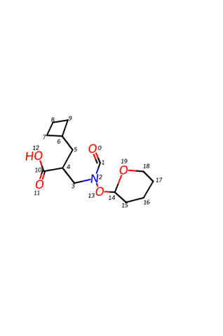 O=CN(CC(CC1CCC1)C(=O)O)OC1CCCCO1